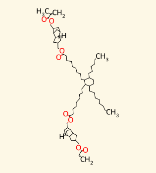 C=CC(=O)OCC1CC2C3C[C@@H](CC3COC(=O)CCCCCCCCC3C(CCCCCCCC)CCC(CCCCCC)C3CCCCCCCCC(=O)OCC3CC4C5CC(CC5COC(=O)C(=C)C)[C@H]4C3)C2C1